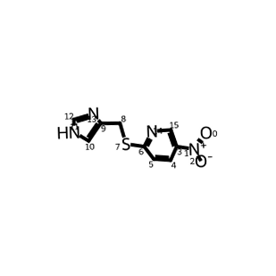 O=[N+]([O-])c1ccc(SCc2c[nH]cn2)nc1